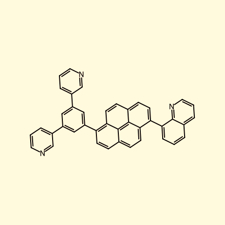 c1cncc(-c2cc(-c3cccnc3)cc(-c3ccc4ccc5c(-c6cccc7cccnc67)ccc6ccc3c4c65)c2)c1